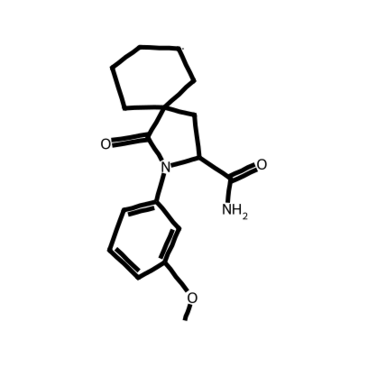 COc1cccc(N2C(=O)C3(C[CH]CCC3)CC2C(N)=O)c1